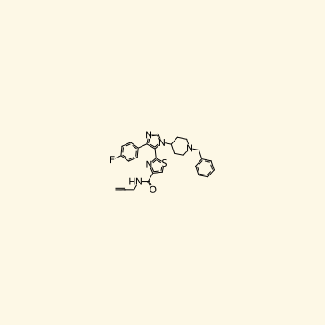 C#CCNC(=O)c1csc(-c2c(-c3ccc(F)cc3)ncn2C2CCN(Cc3ccccc3)CC2)n1